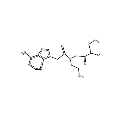 CC(=O)C(CN)C(=O)CN(CCN)C(=O)Cn1cnc2c(N)ncnc21